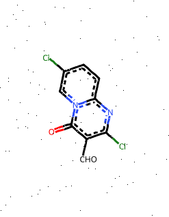 O=Cc1c(Cl)nc2ccc(Cl)cn2c1=O